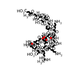 C[C@H](NC(=O)[C@H](Cc1c[nH]cn1)NC(=O)[C@H](CC(=O)O)NC(=O)[C@H](CCCNC(=N)N)NC(=O)[C@H](Cc1c[nH]c2ccccc12)NC(=O)[C@H](CCCCN)NC(=O)[C@H](CO)NC(=O)[C@H](CS)NC(=O)CNC(=O)[C@H](CCCCN)NC(=O)[C@@H]1CCCN1C(=O)CNC(=O)[C@H](CC(N)=O)NC(=O)[C@H](CS)NC(=O)[C@H](CS)NC(=O)CNC(=O)[C@@H](N)CCC(=O)O)C(=O)N[C@@H](CCCNC(=N)N)C(=O)N[C@@H](CS)C(=O)N[C@@H](CS)C(N)=O